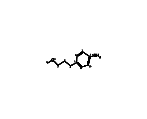 COCCCc1ccc(N)cc1